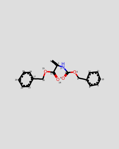 C=C(NC(=O)OCc1ccccc1)C(=O)OCc1ccccc1